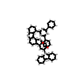 c1ccc(-c2nc(-c3ccccc3)nc(-c3cccc4sc5ccc6c7cc(-n8c9ccccc9c9ccccc98)ccc7sc6c5c34)n2)cc1